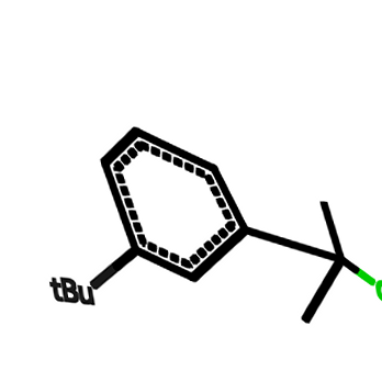 CC(C)(C)c1cccc(C(C)(C)Cl)c1